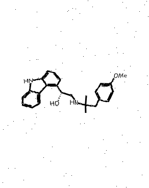 COc1ccc(CC(C)(C)NC[C@H](O)c2cccc3[nH]c4ccccc4c23)cc1